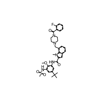 COc1c(NC(=O)c2cc3cccc(CN4CCN(C(=O)c5ccccc5F)CC4)c3n2C)cc(C(C)(C)C)cc1NS(C)(=O)=O